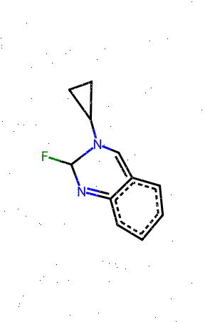 FC1N=c2ccccc2=CN1C1CC1